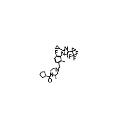 Cc1c(CN2CCN(C(=O)C3CCCC3)[C@H](C)C2)ccc(F)c1-n1c(C2CC2)nc(C2(C(F)(F)F)CC2)c1C